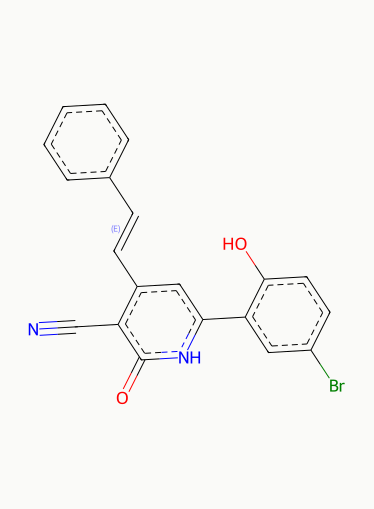 N#Cc1c(/C=C/c2ccccc2)cc(-c2cc(Br)ccc2O)[nH]c1=O